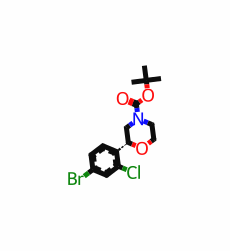 CC(C)(C)OC(=O)N1CCO[C@H](c2ccc(Br)cc2Cl)C1